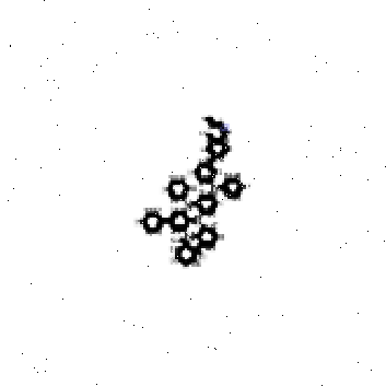 C=C/C=C\c1ccc(-c2cccc(N(c3ccccc3)c3ccc4c(c3)N(c3ccccc3)c3cc(C5CCCCC5)cc5c3B4c3cccc4c3N5C3(C)CCCCC43C)c2)cc1C